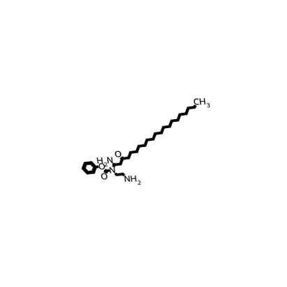 CCCCCCCCCCCCCCCCCCC(=O)CC(N)N(CCN)C(=O)Oc1ccccc1